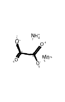 O=C([O-])C(=O)[O-].[Mn+].[NH4+]